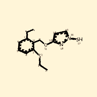 CCSc1cccc(CC)c1COc1ccn(S)n1